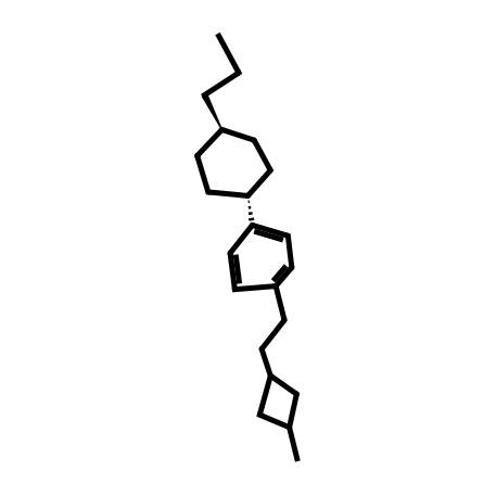 CCC[C@H]1CC[C@H](c2ccc(CCC3CC(C)C3)cc2)CC1